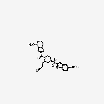 C#Cc1ccc2[nH]c(S(=O)(=O)N3CCN(C(=O)c4cc5c(s4)CCCN5C)C(CCC#N)C3)cc2c1